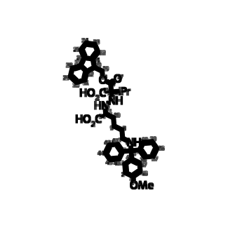 COc1ccc(C(NCCCC[C@H](NN[C@@](C(=O)O)(C(=O)OCC2c3ccccc3-c3ccccc32)C(C)C)C(=O)O)(c2ccccc2)c2ccccc2)cc1